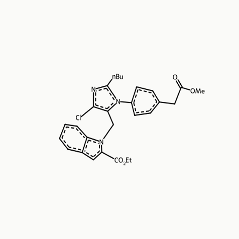 CCCCc1nc(Cl)c(Cn2c(C(=O)OCC)cc3ccccc32)n1-c1ccc(CC(=O)OC)cc1